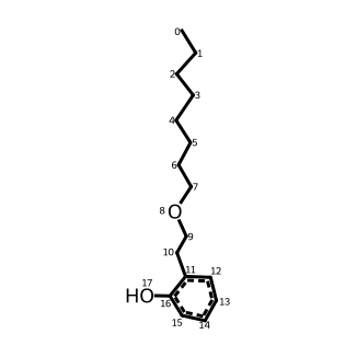 CCCCCCCCOCCc1ccccc1O